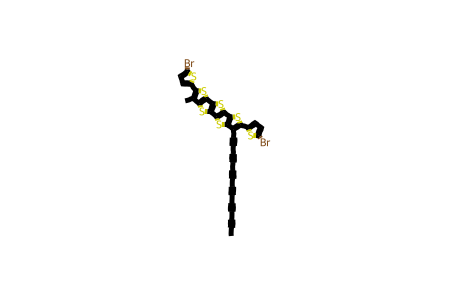 CC#CC#CC#CC#CC#CC#Cc1c(-c2ccc(Br)s2)sc2c1sc1c2sc2c3sc(-c4ccc(Br)s4)c(C)c3sc21